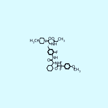 CCC(=O)N[C@H](Cc1ccc(NC(=O)[C@@H](NC(=O)C(F)(F)c2ccc(OC)cc2)C2CCCCC2)c(F)c1)C(=O)N1CCN(C)CC1